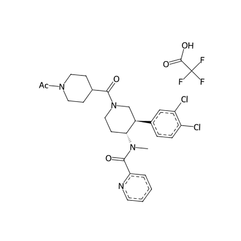 CC(=O)N1CCC(C(=O)N2CC[C@@H](N(C)C(=O)c3ccccn3)[C@H](c3ccc(Cl)c(Cl)c3)C2)CC1.O=C(O)C(F)(F)F